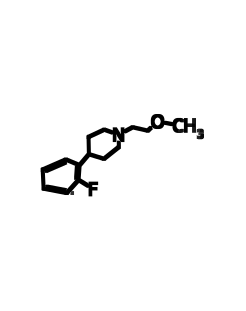 COCCN1CCC(c2ccc[c]c2F)CC1